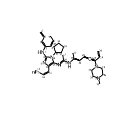 C=C/C=C(\C=C/C)Nc1nc(/C=C\CCC)c(/N=C(\C)N/C(C)=C/C=C=C(C=C)N2CCN(C)CC2)n1C1CCCC1